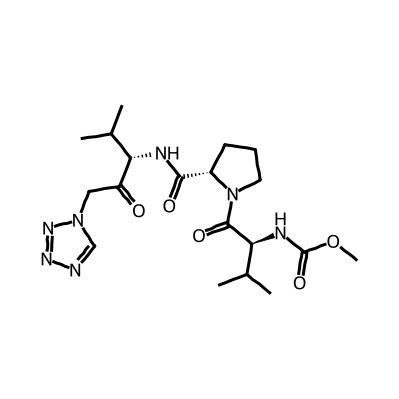 COC(=O)N[C@H](C(=O)N1CCC[C@H]1C(=O)N[C@H](C(=O)Cn1cnnn1)C(C)C)C(C)C